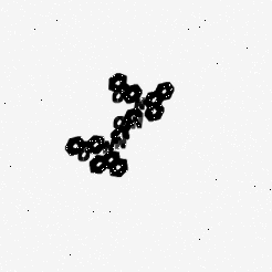 c1ccc2c(c1)cc(N(c1ccc3c(c1)oc1ccccc13)c1cnc3c(c1)oc1cc(N(c4ccc5c(c4)oc4ccccc45)c4cc5ccccc5c5ccccc45)ncc13)c1ccccc12